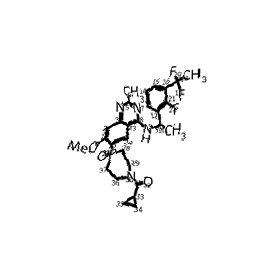 COc1cc2nc(C)nc(N[C@H](C)c3cccc(C(C)(F)F)c3F)c2cc1P1(=O)CCN(C(=O)C2CC2)CC1